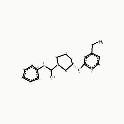 NCc1ccnc(O[C@H]2CCCN(C(O)Nc3ccccc3)C2)c1